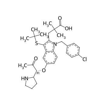 CC(=O)[C@H](Oc1ccc2c(c1)c(SC(C)(C)C)c(CC(C)(C)C(=O)O)n2Cc1ccc(Cl)cc1)C1CCCN1